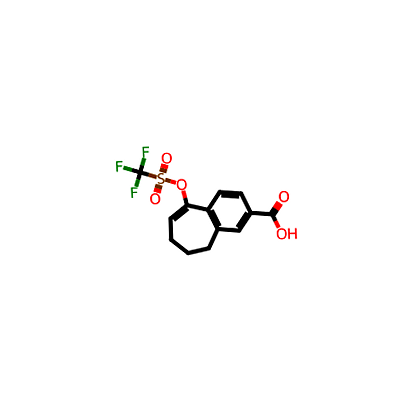 O=C(O)c1ccc2c(c1)CCCC=C2OS(=O)(=O)C(F)(F)F